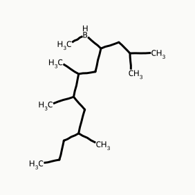 CBC(CC(C)C)CC(C)C(C)CC(C)CCC